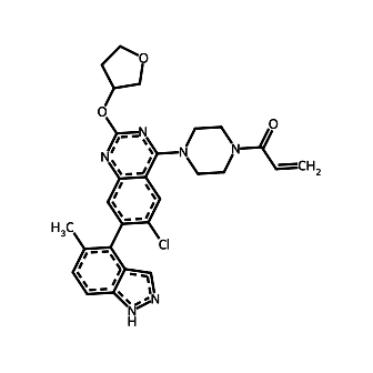 C=CC(=O)N1CCN(c2nc(OC3CCOC3)nc3cc(-c4c(C)ccc5[nH]ncc45)c(Cl)cc23)CC1